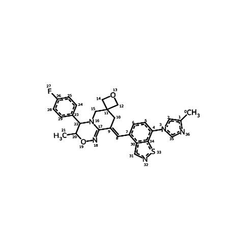 Cc1cn(-c2ccc(/C=C3\CC4(COC4)CN4C3=NOC(C)C4c3ccc(F)cc3)c3cnsc23)cn1